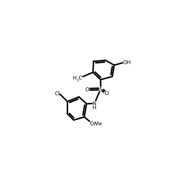 COc1ccc(Cl)cc1NS(=O)(=O)c1cc(O)ccc1C